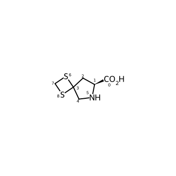 O=C(O)[C@@H]1CC2(CN1)SCS2